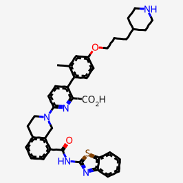 Cc1cc(OCCCC2CCNCC2)ccc1-c1ccc(N2CCc3cccc(C(=O)Nc4nc5ccccc5s4)c3C2)nc1C(=O)O